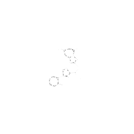 Cc1cc(C)n2nc(SC(C)c3nc(-c4ccccc4Cl)c[nH]3)nc2c1